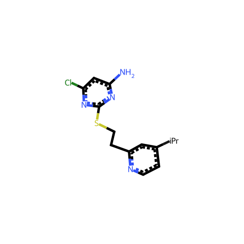 CC(C)c1ccnc(CCSc2nc(N)cc(Cl)n2)c1